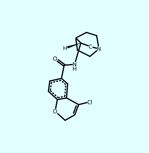 O=C(N[C@H]1CN2CCC1CC2)c1ccc2c(c1)C(Cl)=CCO2